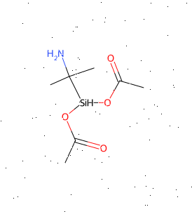 CC(=O)O[SiH](OC(C)=O)C(C)(C)N